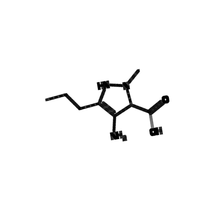 CCCC1=C(N)C(C(=O)O)N(C)N1